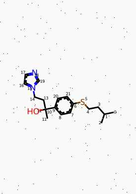 CC(C)CCSc1ccc(C(C)(O)CCn2ccnc2)cc1